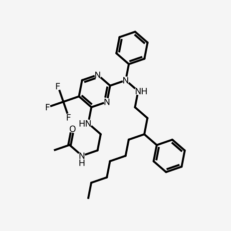 CCCCCCC(CCNN(c1ccccc1)c1ncc(C(F)(F)F)c(NCCNC(C)=O)n1)c1ccccc1